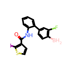 Bc1ccc(-c2ccccc2NC(=O)c2ccsc2I)cc1F